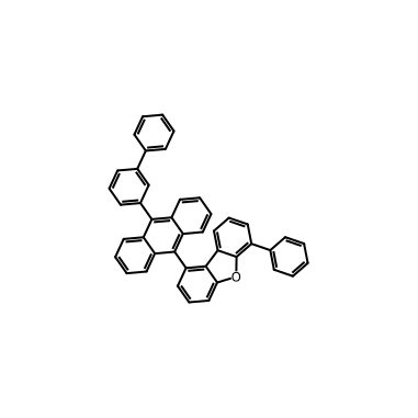 c1ccc(-c2cccc(-c3c4ccccc4c(-c4cccc5oc6c(-c7ccccc7)cccc6c45)c4ccccc34)c2)cc1